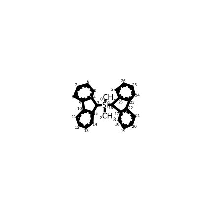 C[Si](C)(C1c2ccccc2-c2ccccc21)C1c2ccccc2-c2ccccc21